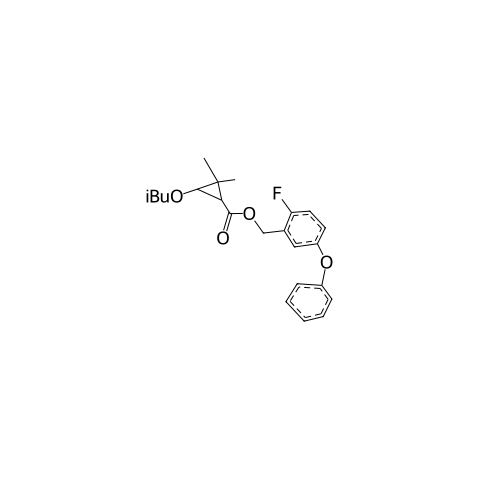 CC(C)COC1C(C(=O)OCc2cc(Oc3ccccc3)ccc2F)C1(C)C